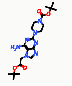 CC(C)(C)OC(=O)Cn1cnc2nc(N3CCN(C(=O)OC(C)(C)C)CC3)nc(N)c21